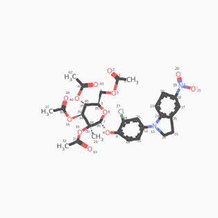 CC(=O)OC[C@H]1O[C@H](Oc2ccc(N3CCc4cc([N+](=O)[O-])ccc43)cc2Cl)[C@@](C)(OC(C)=O)[C@@H](OC(C)=O)[C@@H]1OC(C)=O